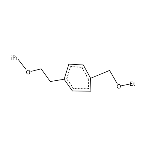 CCOCc1ccc(CCOC(C)C)cc1